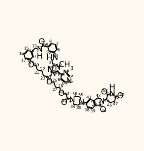 Cn1c(CNc2cccc(C(=O)NCc3cccc(OCCCCCOCCCOCC(=O)N4CCN(c5ccc6c(c5)CN(C5CCC(=O)NC5=O)C6=O)CC4)c3)c2)nnc1-c1ccncn1